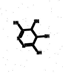 SC1=NN=C(S)C(S)C1S